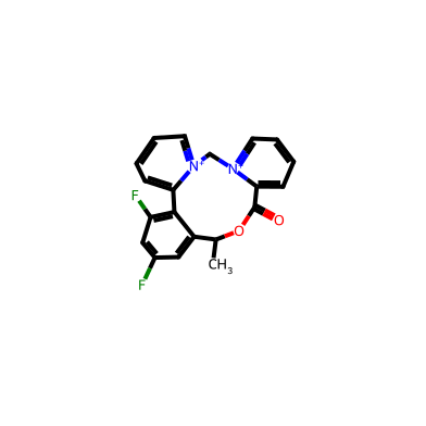 CC1OC(=O)c2cccc[n+]2C[n+]2ccccc2-c2c(F)cc(F)cc21